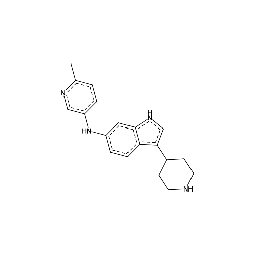 Cc1ccc(Nc2ccc3c(C4CCNCC4)c[nH]c3c2)cn1